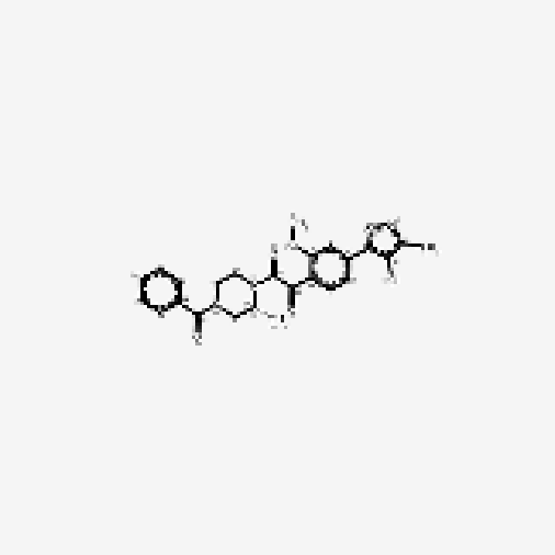 COc1cc(-c2onc(C)c2Cl)ccc1C(=O)C(=O)N1CCN(C(=O)c2ccccc2)C[C@H]1C